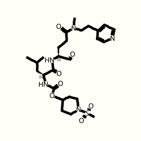 CC(C)C[C@H](NC(=O)OC1CCN(S(C)(=O)=O)CC1)C(=O)N[C@H](C=O)CCC(=O)N(C)CCc1ccncc1